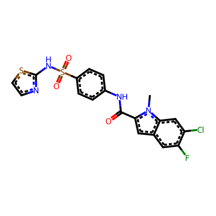 Cn1c(C(=O)Nc2ccc(S(=O)(=O)Nc3nccs3)cc2)cc2cc(F)c(Cl)cc21